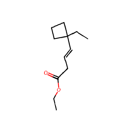 CCOC(=O)CC=CC1(CC)CCC1